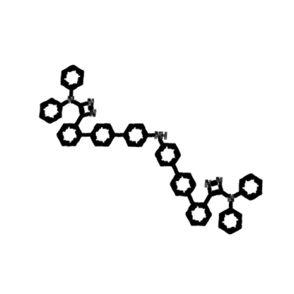 c1ccc(N(C2=C(c3ccccc3-c3ccc(-c4ccc(Nc5ccc(-c6ccc(-c7ccccc7C7=C(N(c8ccccc8)c8ccccc8)N=N7)cc6)cc5)cc4)cc3)N=N2)c2ccccc2)cc1